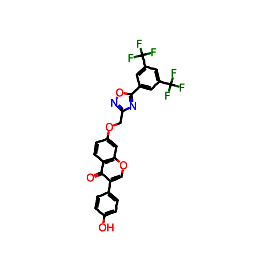 O=c1c(-c2ccc(O)cc2)coc2cc(OCc3noc(-c4cc(C(F)(F)F)cc(C(F)(F)F)c4)n3)ccc12